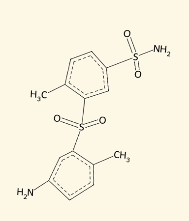 Cc1ccc(N)cc1S(=O)(=O)c1cc(S(N)(=O)=O)ccc1C